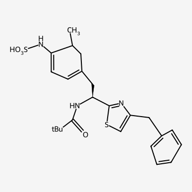 CC1CC(C[C@H](NC(=O)C(C)(C)C)c2nc(Cc3ccccc3)cs2)=CC=C1NS(=O)(=O)O